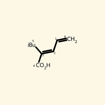 C=C/C=C(/C(=O)O)C(C)CC